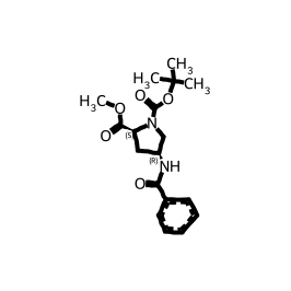 COC(=O)[C@@H]1C[C@@H](NC(=O)c2ccccc2)CN1C(=O)OC(C)(C)C